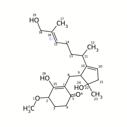 COC1CCC(=O)C(CC2C(C(C)CC/C=C(\C)CO)=CCC2(C)O)=C1O